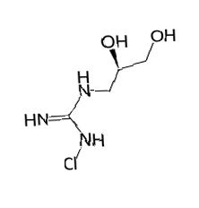 N=C(NCl)NC[C@@H](O)CO